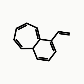 C=CC1=CC=CC2C=CC=CC=C12